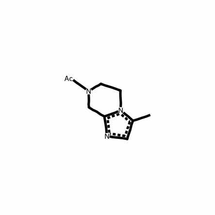 CC(=O)N1CCn2c(C)cnc2C1